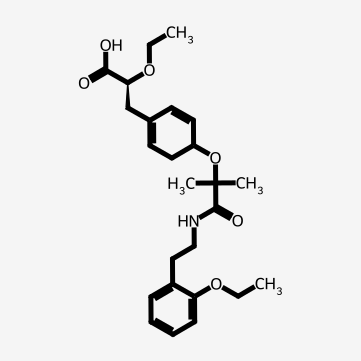 CCOc1ccccc1CCNC(=O)C(C)(C)OC1C=CC(C[C@H](OCC)C(=O)O)=CC1